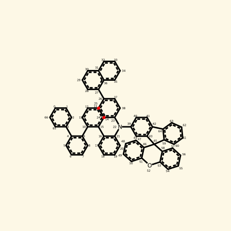 c1ccc(-c2ccccc2-c2ccccc2-c2ccccc2N(c2ccc(-c3cccc4ccccc34)cc2)c2ccc3c(c2)C2(c4ccccc4Oc4ccccc42)c2ccccc2-3)cc1